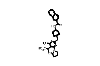 Cc1nc(Cc2ccc(NC(=O)c3ccc4ccccc4c3)cc2)nc(N2CCCC2)c1C(C)C(=O)O